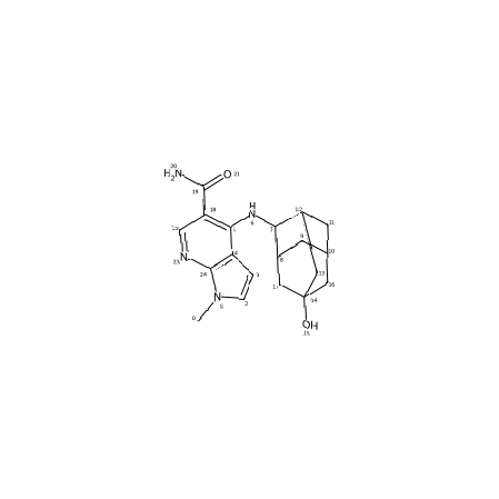 Cn1ccc2c(NC3C4CC5CC3CC(O)(C5)C4)c(C(N)=O)cnc21